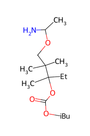 CCC(C)OC(=O)OC(C)(CC)C(C)(C)COC(C)N